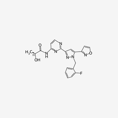 C[C@H](O)C(=O)Nc1ccnc(-c2cc(-c3ccon3)n(Cc3ccccc3F)n2)n1